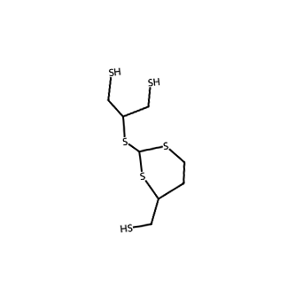 SCC(CS)SC1SCCC(CS)S1